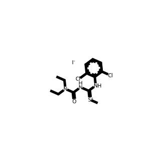 CCN(CC)C(=O)N/C(Nc1c(Cl)cccc1Cl)=[S+]/C.[I-]